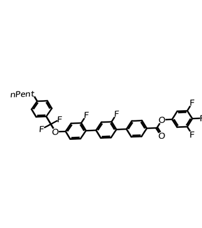 CCCCCc1ccc(C(F)(F)Oc2ccc(-c3ccc(-c4ccc(C(=O)Oc5cc(F)c(F)c(F)c5)cc4)c(F)c3)c(F)c2)cc1